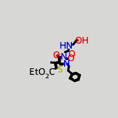 CCOC(=O)c1sc2c(c1C)c(=O)n(CC(=O)NCCO)c(=O)n2CCc1ccccc1